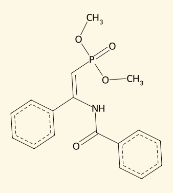 COP(=O)(/C=C(\NC(=O)c1ccccc1)c1ccccc1)OC